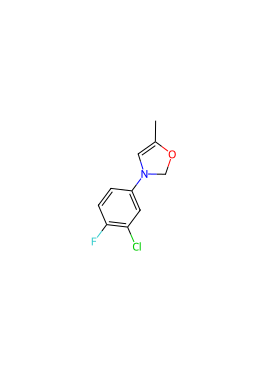 CC1=CN(c2ccc(F)c(Cl)c2)CO1